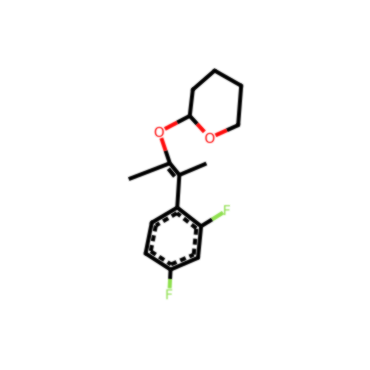 CC(OC1CCCCO1)=C(C)c1ccc(F)cc1F